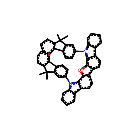 CC1(C)c2ccccc2-c2ccc(-n3c4ccccc4c4ccc5c6ccc7c8ccccc8n(-c8ccc9c(c8)C(C)(C)c8ccccc8-9)c7c6oc5c43)cc21